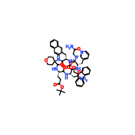 CN(CC(N)=O)C(=O)[C@H](Cc1cccnc1)NC(=O)[C@H](CC(N)=O)NC(=O)[C@H](CCC(=O)OC(C)(C)C)NC(=O)C1(NC(=O)[C@H](Cc2ccc3ccccc3c2)NC(=O)OCC2c3ccccc3-c3ccccc32)CCOCC1